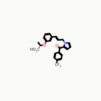 C[C@H](Oc1cccc(/C=C/Cn2cccc2C(=O)c2ccc(C(F)(F)F)cc2)c1)C(=O)O